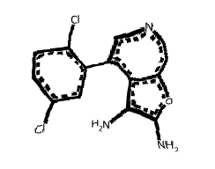 Nc1oc2cncc(-c3cc(Cl)ccc3Cl)c2c1N